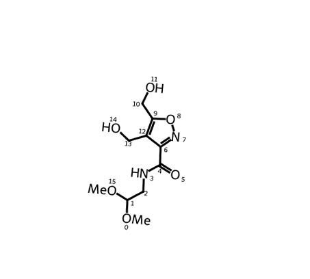 COC(CNC(=O)c1noc(CO)c1CO)OC